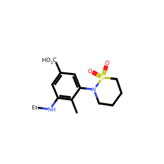 CCNc1cc(C(=O)O)cc(N2CCCCS2(=O)=O)c1C